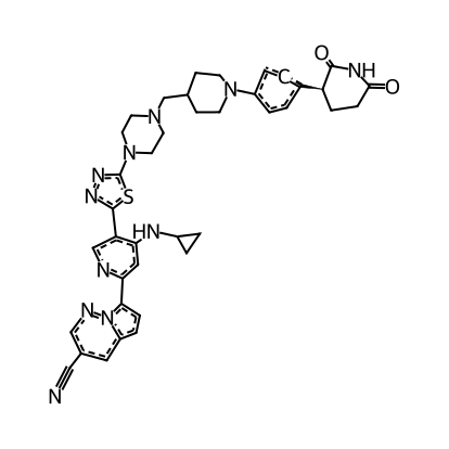 N#Cc1cnn2c(-c3cc(NC4CC4)c(-c4nnc(N5CCN(CC6CCN(c7ccc([C@@H]8CCC(=O)NC8=O)cc7)CC6)CC5)s4)cn3)ccc2c1